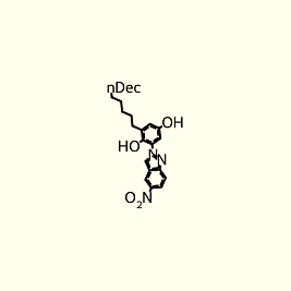 CCCCCCCCCCCCCCCc1cc(O)cc(-n2cc3cc([N+](=O)[O-])ccc3n2)c1O